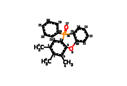 Cc1cc2c(c(C)c1C)Oc1ccccc1P2(=O)c1ccccc1